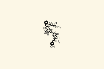 C[C@H](NC(=O)[C@H](C)NC(=O)[C@@H](N)Cc1ccc(O)cc1)C(=O)NCC(=O)N[C@H](C(=O)N[C@@H](Cc1ccccc1)C(=O)N[C@@H](CCCCN)C(=O)O)[C@@H](C)O